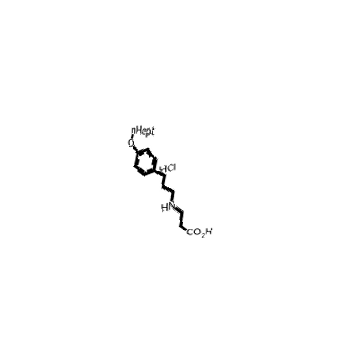 CCCCCCCOc1ccc(CCCNCCC(=O)O)cc1.Cl